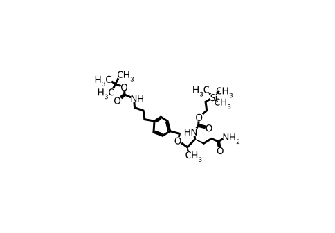 C[C@@H](OCc1ccc(CCCNC(=O)OC(C)(C)C)cc1)[C@H](CCC(N)=O)NC(=O)OCC[Si](C)(C)C